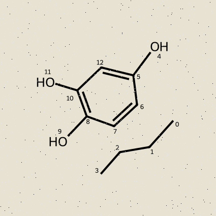 CCCC.Oc1ccc(O)c(O)c1